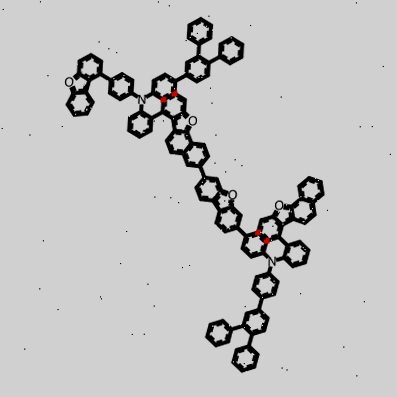 c1ccc(-c2ccc(-c3ccc(N(c4ccc(-c5ccc6c(c5)oc5cc(-c7ccc8c(ccc9c8oc8cccc(-c%10ccccc%10N(c%10ccc(-c%11ccc(-c%12ccccc%12)c(-c%12ccccc%12)c%11)cc%10)c%10ccc(-c%11cccc%12oc%13ccccc%13c%11%12)cc%10)c89)c7)ccc56)cc4)c4ccccc4-c4cccc5oc6c7ccccc7ccc6c45)cc3)cc2-c2ccccc2)cc1